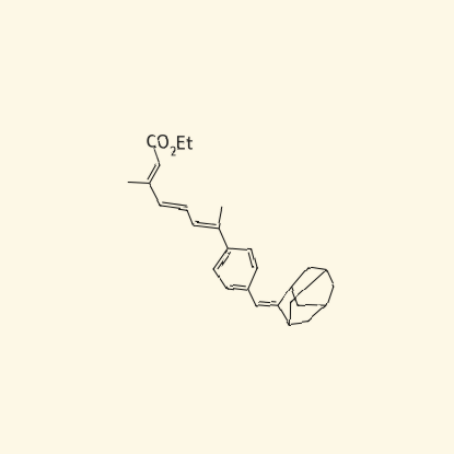 CCOC(=O)C=C(C)C=CC=C(C)c1ccc(C=C2C3CC4CC(C3)CC2C4)cc1